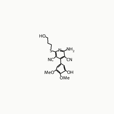 COc1cc(-c2c(C#N)c(N)nc(SCCCO)c2C#N)cc(O)c1OC